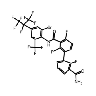 NC(=O)c1cccc(-c2ccc(F)c(C(=O)Nc3c(Br)cc(C(F)(C(F)(F)F)C(F)(F)F)cc3C(F)(F)F)c2F)c1F